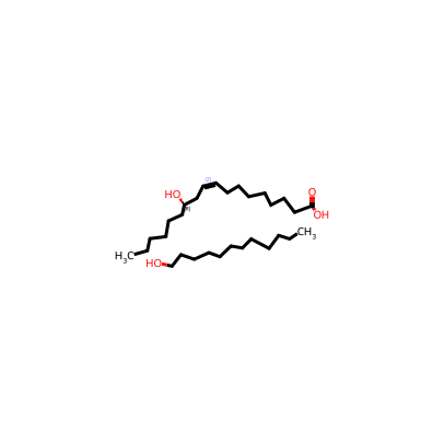 CCCCCCCCCCCCO.CCCCCC[C@@H](O)C/C=C\CCCCCCCC(=O)O